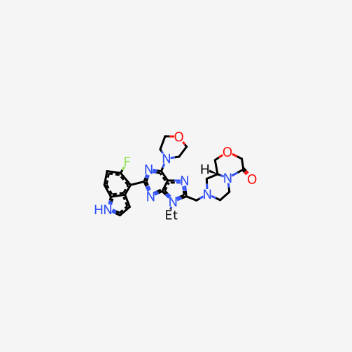 CCn1c(CN2CCN3C(=O)COC[C@H]3C2)nc2c(N3CCOCC3)nc(-c3c(F)ccc4[nH]ccc34)nc21